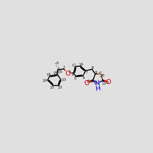 C[C@H](COc1ccc(CC2SC(=O)NC2=O)cc1)c1ccccc1